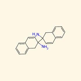 NC1(C2(N)C=Cc3ccccc3C2)C=Cc2ccccc2C1